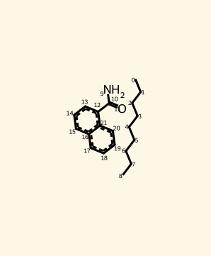 CCCCCCCCC.NC(=O)c1cccc2ccccc12